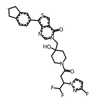 O=C(CC(C(F)F)n1ccc(F)n1)N1CCC(O)(Cn2cnc3c(-c4ccc5c(c4)C[CH]C5)scc3c2=O)CC1